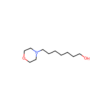 OCCCCCCCN1CCOCC1